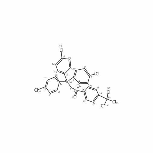 O=S(=O)([CH2][Sn]([c]1ccc(Cl)cc1)([c]1ccc(Cl)cc1)[c]1ccc(Cl)cc1)c1ccc(C(Cl)(Cl)Cl)cc1